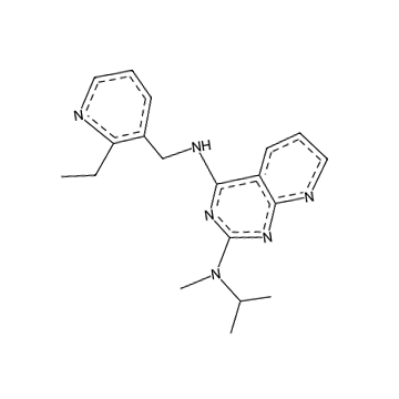 CCc1ncccc1CNc1nc(N(C)C(C)C)nc2ncccc12